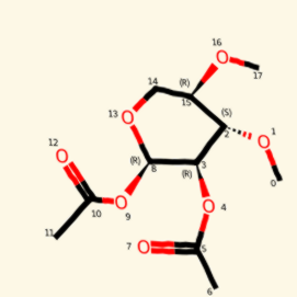 CO[C@@H]1[C@@H](OC(C)=O)[C@@H](OC(C)=O)OC[C@H]1OC